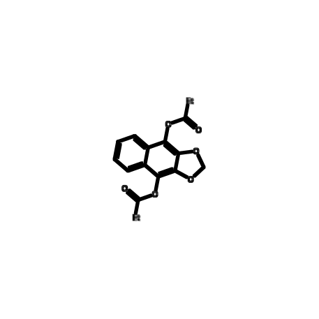 CCC(=O)Oc1c2c(c(OC(=O)CC)c3ccccc13)OCO2